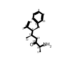 C=C(C)[C@@H](Cc1ccccc1)[C@H](C)CC(=O)[C@H](C)N